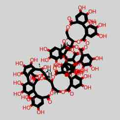 CC1(C)c2c(O)c(O)c(O)c3c2C(=O)O[C@@H]1[C@H]([C@@H]1OC(=O)c2cc(O)c(O)c(O)c2-c2c(cc(O)c(O)c2O)C(=O)OC[C@H]1OC(=O)c1cc(O)c(O)c(O)c1Oc1cc2c(c(O)c1O)-c1c(cc(O)c(O)c1O)C(=O)OC[C@@H]1OC(=O)c4cc(O)c(O)c(O)c4-c4c(O)c(O)c(O)c5c4C(=O)O[C@@H]([C@H]1OC2=O)[C@H]1OC(=O)c2c-5c(O)c(O)c(O)c2[C@@]1(C)O)OC(=O)c1cc(O)c(O)c(O)c1-3